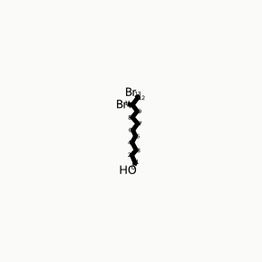 OCCCCCCCCCC(Br)CBr